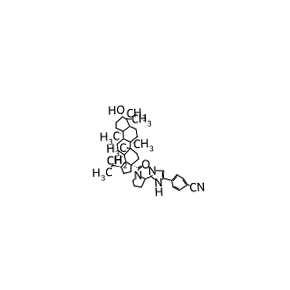 C=C(C)[C@@H]1CC[C@]2(C(=O)N3CCCC3c3ncc(-c4ccc(C#N)cc4)[nH]3)CC[C@]3(C)[C@H](CCC4[C@@]5(C)CC[C@H](O)C(C)(C)C5CC[C@]43C)C12